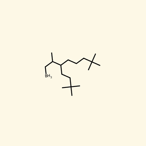 BCC(C)C(CCCC(C)(C)C)CCC(C)(C)C